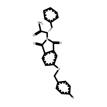 NC(=O)[C@H](Cc1ccccc1)N1C(=O)c2ccc(OCc3ccc(F)cc3)cc2C1=O